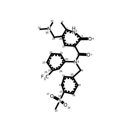 Cc1[nH]c(=O)c(C(=O)N(Cc2ccc(S(C)(=O)=O)cc2)c2cccc(C(F)(F)F)c2)cc1CN(C)C